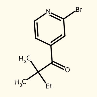 CCC(C)(C)C(=O)c1ccnc(Br)c1